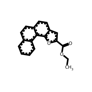 CCOC(=O)c1cc2ccc3ccc4ccccc4c3c2o1